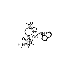 CC(=O)N(C)[C@@H](N)C(=O)N[C@H]1CCCN(C(C)=O)[C@H]2CC[C@H](C(=O)Nc3cccc4ccccc34)N2C1=O